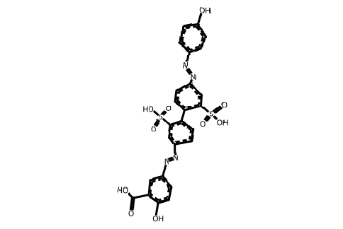 O=C(O)c1cc(/N=N/c2ccc(-c3ccc(/N=N/c4ccc(O)cc4)cc3S(=O)(=O)O)c(S(=O)(=O)O)c2)ccc1O